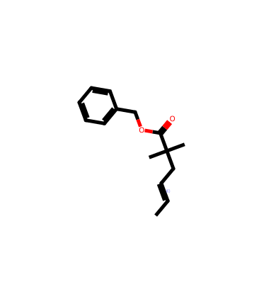 C/C=C/CC(C)(C)C(=O)OCc1ccccc1